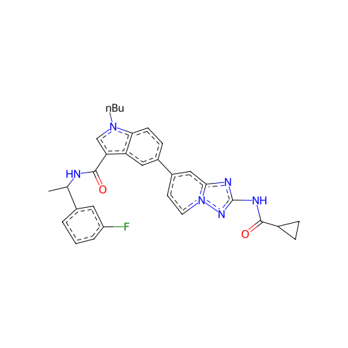 CCCCn1cc(C(=O)NC(C)c2cccc(F)c2)c2cc(-c3ccn4nc(NC(=O)C5CC5)nc4c3)ccc21